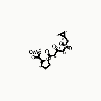 COC(=O)C1CCCN1C(=O)CC(=O)CS(=O)(=O)CC1CC1